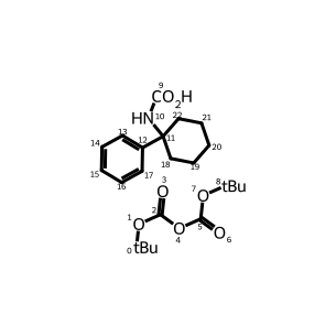 CC(C)(C)OC(=O)OC(=O)OC(C)(C)C.O=C(O)NC1(c2ccccc2)CCCCC1